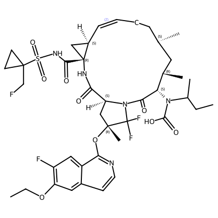 CCOc1cc2ccnc(O[C@]3(C)C[C@H]4C(=O)N[C@]5(C(=O)NS(=O)(=O)C6(CF)CC6)C[C@H]5/C=C\CC[C@H](C)C[C@@H](C)[C@H](N(C(=O)O)C(C)CC)C(=O)N4C3(F)F)c2cc1F